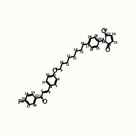 O=C(C=Cc1ccc(OCCCCCCCCc2ccc(N3C(=O)C=CC3=O)cc2)cc1)c1ccc(F)cc1